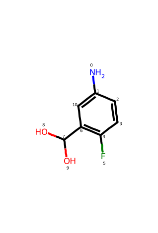 Nc1ccc(F)c(C(O)O)c1